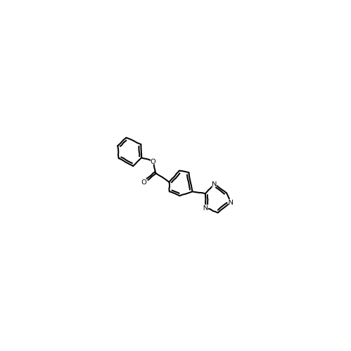 O=C(Oc1ccccc1)c1ccc(-c2ncncn2)cc1